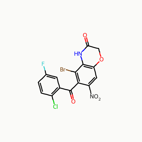 O=C1COc2cc([N+](=O)[O-])c(C(=O)c3cc(F)ccc3Cl)c(Br)c2N1